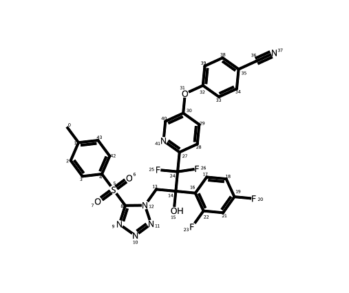 Cc1ccc(S(=O)(=O)c2nnnn2CC(O)(c2ccc(F)cc2F)C(F)(F)c2ccc(Oc3ccc(C#N)cc3)cn2)cc1